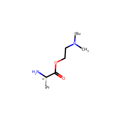 CC(C)[C@H](N)C(=O)OCCN(C)C(C)(C)C